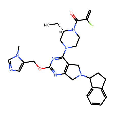 C=C(F)C(=O)N1CCN(c2nc(OCc3cncn3C)nc3c2CN(C2CCc4ccccc42)C3)C[C@@H]1CC#N